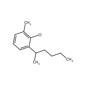 CCCC[C](C)c1cccc(C)c1Cl